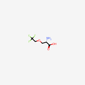 N[C@@H](COCC(F)(F)F)C(=O)O